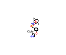 CO[C@@H]1CNC[C@H]1Oc1cccc(CS(=O)(=O)N(C)[C@@H]2C[C@H]3CC[C@@H](C2)O3)c1